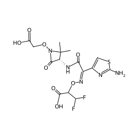 CC1(C)[C@H](NC(=O)/C(=N\OC(C(=O)O)C(F)F)c2csc(N)n2)C(=O)N1OCC(=O)O